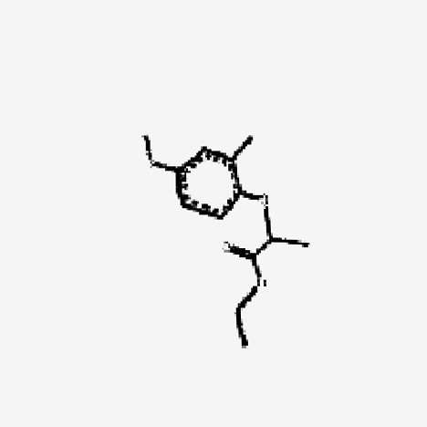 CCOC(=O)C(C)Oc1ccc(SC)cc1C